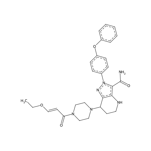 CCO/C=C/C(=O)N1CCN(C2CCNc3c2nn(-c2ccc(Oc4ccccc4)cc2)c3C(N)=O)CC1